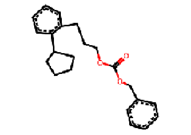 O=C(OCCCc1ccccc1C1CCCC1)OCc1ccccc1